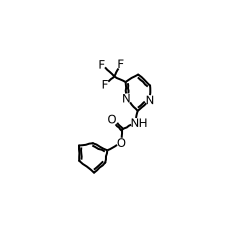 O=C(Nc1nccc(C(F)(F)F)n1)Oc1ccccc1